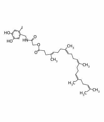 CC(C)=CCCC(C)=CCCC(C)=CCCC=C(C)CCC=C(C)CCC(=O)OCC(=O)NCc1cc(O)c(O)cc1I